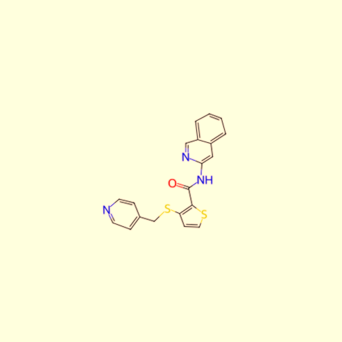 O=C(Nc1cc2ccccc2cn1)c1sccc1SCc1ccncc1